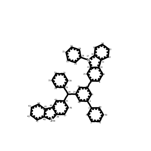 c1ccc(-c2cc(-c3ccc4c5ccccc5n(-c5ccccc5)c4c3)cc(C(c3ccccc3)c3ccc4sc5ccccc5c4c3)c2)cc1